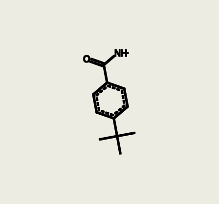 CC(C)(C)c1ccc(C([NH])=O)cc1